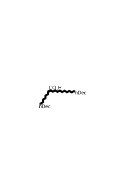 CCCCCCCCCCCCCCCCC=C(CCCCCCCCCCCCCCCCCCCC)C(=O)O